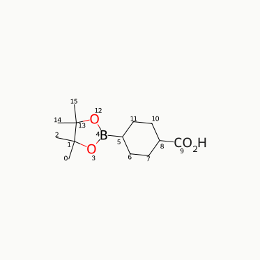 CC1(C)OB(C2CCC(C(=O)O)CC2)OC1(C)C